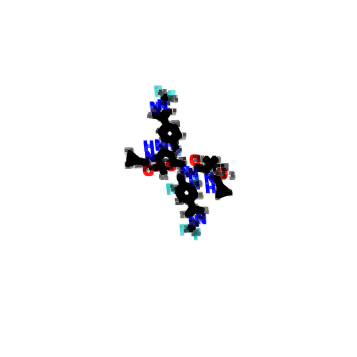 CC(C)([C@H](NC(=O)C1CC1)C(=O)NN(Cc1c(F)cc(-c2cnn(C(F)F)c2)cc1F)C[C@@H](O)[C@@H](Cc1ccc(-c2cnn(C(F)F)c2)cc1)C(N)[C@@H](NC(=O)C1CC1)C(C)(C)C(F)(F)F)C(F)(F)F